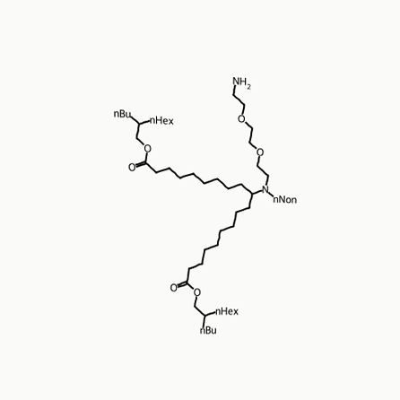 CCCCCCCCCN(CCOCCOCCN)C(CCCCCCCCC(=O)OCC(CCCC)CCCCCC)CCCCCCCCC(=O)OCC(CCCC)CCCCCC